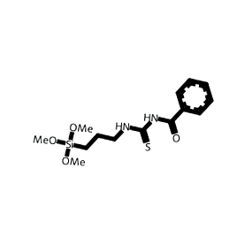 CO[Si](CCCNC(=S)NC(=O)c1ccccc1)(OC)OC